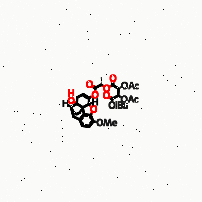 COc1ccc2c3c1O[C@H]1C(OC(=O)[C@H](C)OC(=O)[C@H](OC(C)=O)[C@@H](OC(C)=O)C(=O)OCC(C)C)=CC[C@@]4(O)[C@H](CCC[C@]314)C2